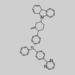 C=C1CC(N2c3ccccc3C3C=CC=CC32)CCC1c1ccc([C@@H](c2ccccc2)c2ccc(-c3ncccn3)cc2)cc1